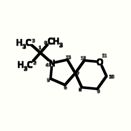 CC(C)(C)N1CCC2(CCCOC2)C1